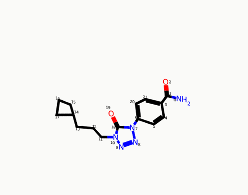 NC(=O)c1ccc(-n2nnn(CCCC3CCC3)c2=O)cc1